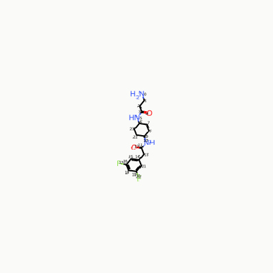 NCCC(=O)NC1CCC(NC(=O)Cc2cc(F)cc(F)c2)CC1